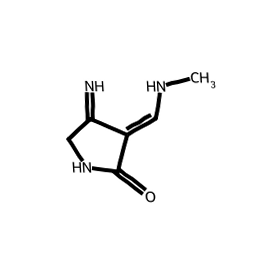 CN/C=C1\C(=N)CNC1=O